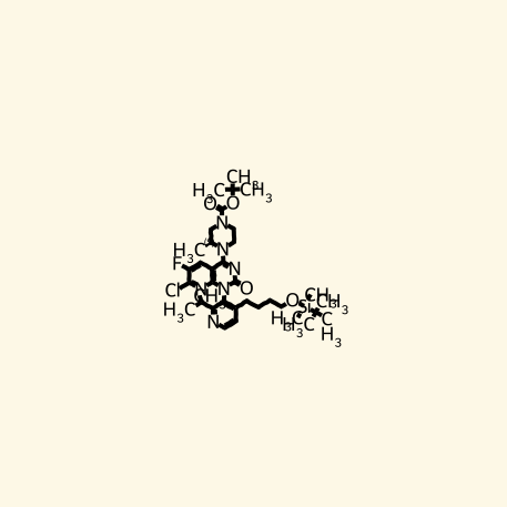 CC(C)c1nccc(CCCCO[Si](C)(C)C(C)(C)C)c1-n1c(=O)nc(N2CCN(C(=O)OC(C)(C)C)C[C@@H]2C)c2cc(F)c(Cl)nc21